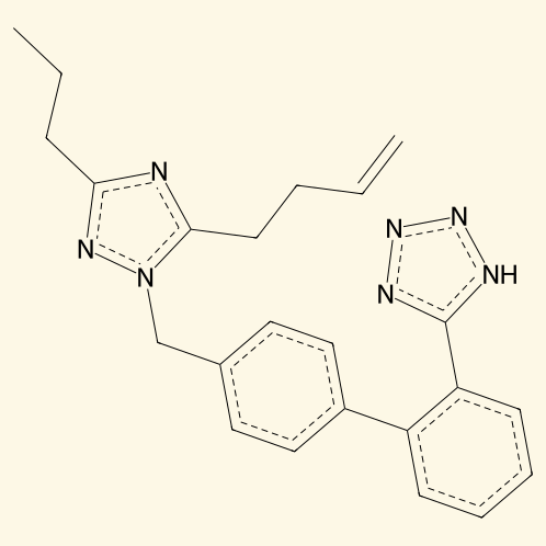 C=CCCc1nc(CCC)nn1Cc1ccc(-c2ccccc2-c2nnn[nH]2)cc1